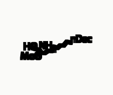 CCCCCCCCCCCCCCCCCCC[C@@H](OC)[C@@H](N)CO